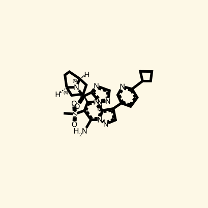 CS(=O)(=O)c1c([C@H]2C[C@H]3CC[C@@H](C2)N3C(=O)c2ncn[nH]2)nc2c(-c3ccc(C4CCC4)nc3)cnn2c1N